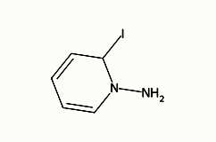 NN1C=CC=CC1I